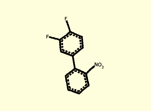 O=[N+]([O-])c1ccccc1-c1ccc(F)c(F)c1